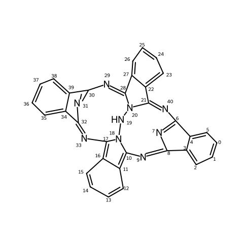 c1ccc2c(c1)C1=NC/2=N\c2c3ccccc3c3n2Nn2/c(c4ccccc4/c2=N/C2=NC(=N\3)/c3ccccc32)=N\1